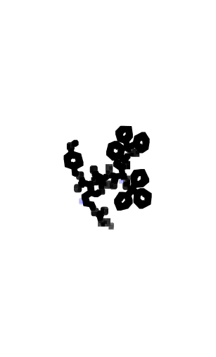 COc1ccc(COC(=O)C2=C(/C=C\COC(N)=O)CS[C@H]3C(NC(=O)/C(=N\OC(c4ccccc4)(c4ccccc4)c4ccccc4)c4csc(NC(c5ccccc5)(c5ccccc5)c5ccccc5)n4)C(=O)N23)cc1